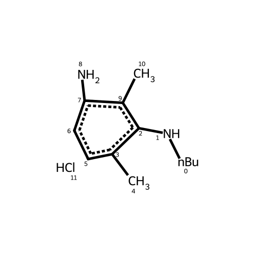 CCCCNc1c(C)ccc(N)c1C.Cl